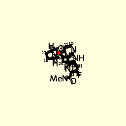 CNC(=O)c1ncc(Nc2nccc(N3C[C@H]4CC[C@@H](C3)N4C(=O)C3CC(F)(CF)C3)n2)cc1F